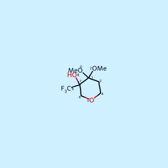 COC1(OC)CCOCC1(O)C(F)(F)F